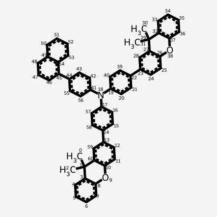 CC1(C)c2ccccc2Oc2ccc(-c3ccc(N(c4ccc(-c5ccc6c(c5)C(C)(C)c5ccccc5O6)cc4)c4ccc(-c5cccc6ccccc56)cc4)cc3)cc21